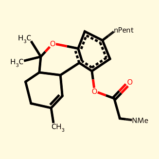 CCCCCc1cc(OC(=O)CNC)c2c(c1)OC(C)(C)C1CCC(C)=CC21